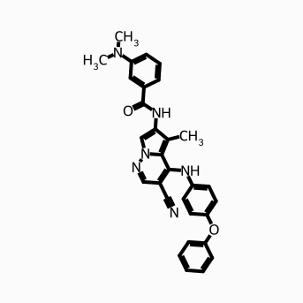 Cc1c(NC(=O)c2cccc(N(C)C)c2)cn2ncc(C#N)c(Nc3ccc(Oc4ccccc4)cc3)c12